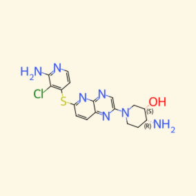 Nc1nccc(Sc2ccc3nc(N4CC[C@@H](N)[C@@H](O)C4)cnc3n2)c1Cl